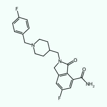 NC(=O)c1cc(F)cc2c1C(=O)N(CC1CCN(Cc3ccc(F)cc3)CC1)C2